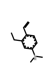 C=Cc1ccc([SiH](C)C)cc1CC